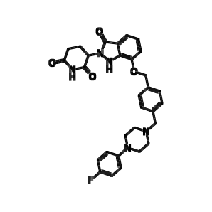 O=C1CCC(n2[nH]c3c(OCc4ccc(CN5CCN(c6ccc(F)cc6)CC5)cc4)cccc3c2=O)C(=O)N1